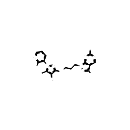 CCc1ncccc1-n1nc(OCCCn2nc(Cl)c3cnc(Cl)nc32)c([N+](=O)[O-])c1C